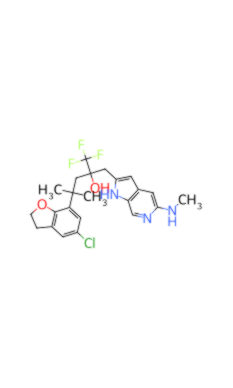 CNc1cc2cc(CC(O)(CC(C)(C)c3cc(Cl)cc4c3OCC4)C(F)(F)F)[nH]c2cn1